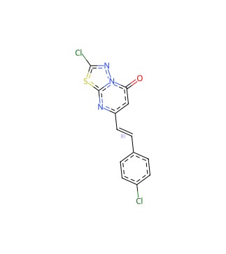 O=c1cc(/C=C/c2ccc(Cl)cc2)nc2sc(Cl)nn12